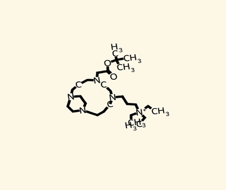 CC[N+](CC)(CC)CCCN1CCCN2CCN(CCCN(CC(=O)OC(C)(C)C)CC1)CC2